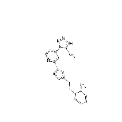 FC(F)(F)c1[nH]nnc1-c1ccnc(-c2cn(CCC3C=CC=CC3C(F)(F)F)cn2)c1